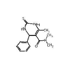 CC1=C(C(=O)N(C)C)C(c2ccccc2)NC(=S)N1